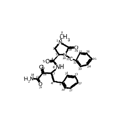 CN1C[C@H](C(=O)NC(Cc2ccccc2)C(=O)C(N)=O)N(Cc2ccccc2)C1=O